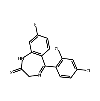 Fc1ccc2c(c1)NC(=S)CN=C2c1ccc(Cl)cc1Cl